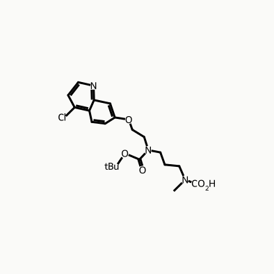 CN(CCCN(CCOc1ccc2c(Cl)ccnc2c1)C(=O)OC(C)(C)C)C(=O)O